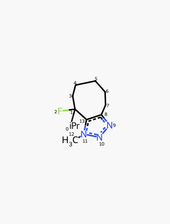 CC(C)C1(F)CCCCCc2nnn(C)c21